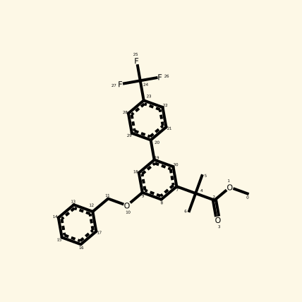 COC(=O)C(C)(C)c1cc(OCc2ccccc2)cc(-c2ccc(C(F)(F)F)cc2)c1